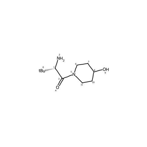 CC(C)(C)[C@H](N)C(=O)N1CCC(O)CC1